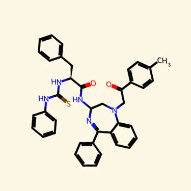 Cc1ccc(C(=O)CN2CC(NC(=O)[C@H](Cc3ccccc3)NC(=S)Nc3ccccc3)N=C(c3ccccc3)c3ccccc32)cc1